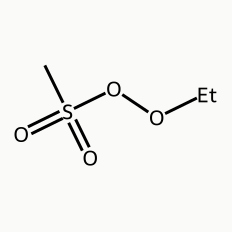 CCOOS(C)(=O)=O